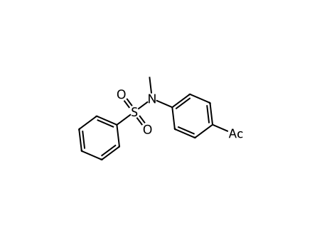 CC(=O)c1ccc(N(C)S(=O)(=O)c2ccccc2)cc1